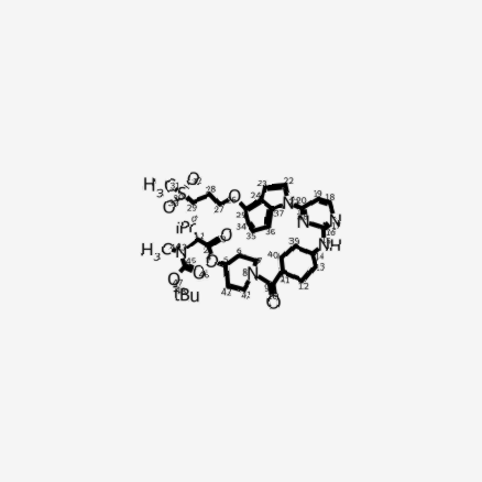 CC(C)[C@H](C(=O)OC1CCN(C(=O)C2CCC(Nc3nccc(-n4ccc5c(OCCCS(C)(=O)=O)cccc54)n3)CC2)CC1)N(C)C(=O)OC(C)(C)C